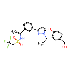 C=C(NS(=O)(=O)CC(F)(F)F)c1cccc(-c2cc(Oc3ccc(CO)cc3)n(CC)n2)c1